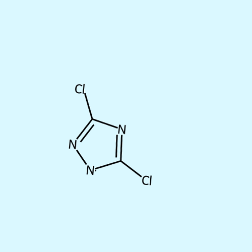 ClC1=NC(Cl)=N[N]1